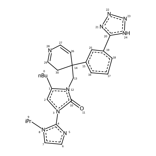 CCCCc1cn(-c2nccn2C(C)C)c(=O)n1CC1(c2cccc(-c3nnn[nH]3)c2)C=CN=CC1